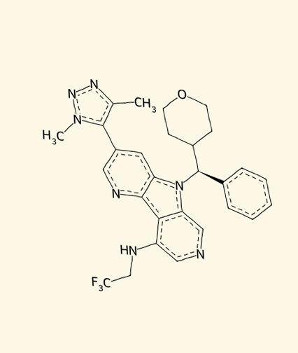 Cc1nnn(C)c1-c1cnc2c3c(NCC(F)(F)F)cncc3n([C@H](c3ccccc3)C3CCOCC3)c2c1